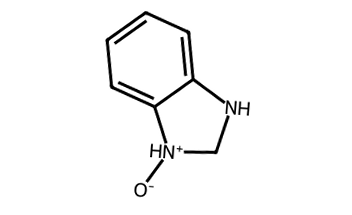 [O-][NH+]1CNc2ccccc21